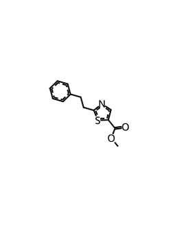 COC(=O)c1cnc(CCc2ccccc2)s1